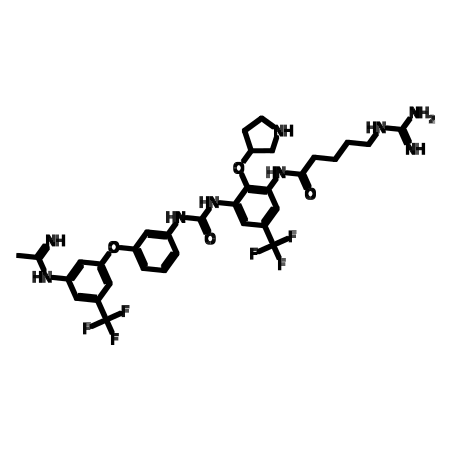 CC(=N)Nc1cc(Oc2cccc(NC(=O)Nc3cc(C(F)(F)F)cc(NC(=O)CCCCNC(=N)N)c3OC3CCNC3)c2)cc(C(F)(F)F)c1